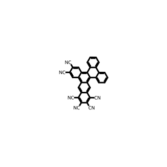 N#Cc1cc2c3cc4c(C#N)c(C#N)c(C#N)c(C#N)c4cc3c3c4ccccc4c4ccccc4c3c2cc1C#N